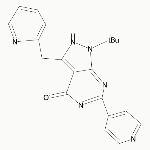 CC(C)(C)n1[nH]c(Cc2ccccn2)c2c(=O)nc(-c3ccncc3)nc1-2